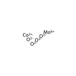 [Co+2].[Mo+6].[O-2].[O-2].[O-2].[O-2]